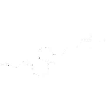 CC(C)(O)CCCCC1CCC2/C(=C/CN)CCCC12C